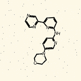 c1cc(Nc2ccc(N3CCOCC3)cn2)nc(-c2cnccn2)c1